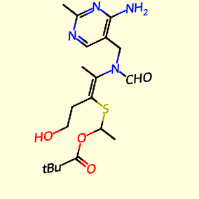 C/C(=C(\CCO)SC(C)OC(=O)C(C)(C)C)N(C=O)Cc1cnc(C)nc1N